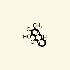 Cc1cn2c(c(O)c1=O)C(=O)N1CCCC[C@@H]1C2